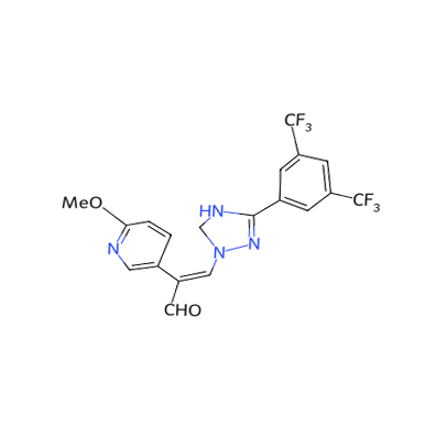 COc1ccc(/C(C=O)=C\N2CNC(c3cc(C(F)(F)F)cc(C(F)(F)F)c3)=N2)cn1